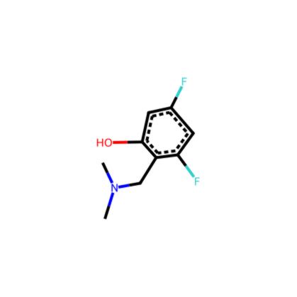 CN(C)Cc1c(O)cc(F)cc1F